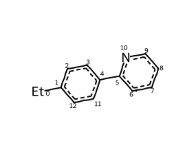 CCc1ccc(-c2[c]cccn2)cc1